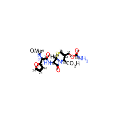 CO/N=C(\C(=O)N[C@@H]1C(=O)N2C(C(=O)O)C(COC(N)=O)=CS[C@H]12)c1ccco1